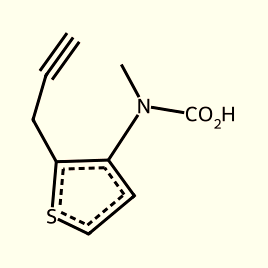 C#CCc1sccc1N(C)C(=O)O